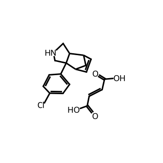 Clc1ccc(C23CNCC2C2C=CC3C2)cc1.O=C(O)/C=C/C(=O)O